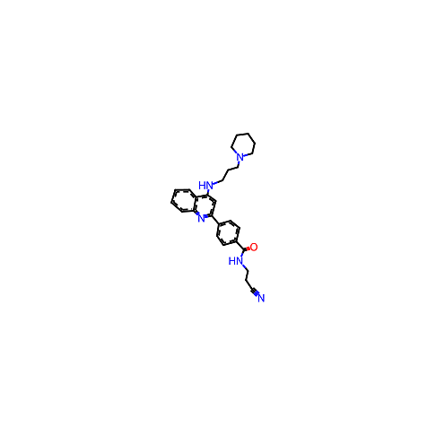 N#CCCNC(=O)c1ccc(-c2cc(NCCCN3CCCCC3)c3ccccc3n2)cc1